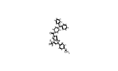 COc1ccc(-c2cc(C(F)(F)F)n3nc(C(=O)N4CCN(C(c5ccccc5)c5ccccc5)CC4)cc3n2)cc1